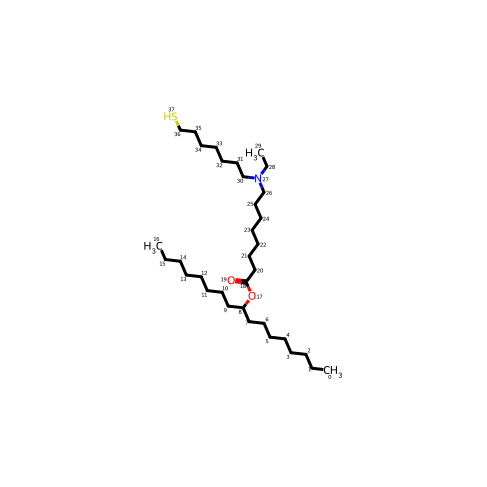 CCCCCCCCC(CCCCCCCC)OC(=O)CCCCCCCN(CC)CCCCCCCS